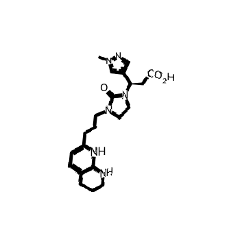 Cn1cc([C@@H](CC(=O)O)N2CCN(CCCC3=CC=C4CCCNC4N3)C2=O)cn1